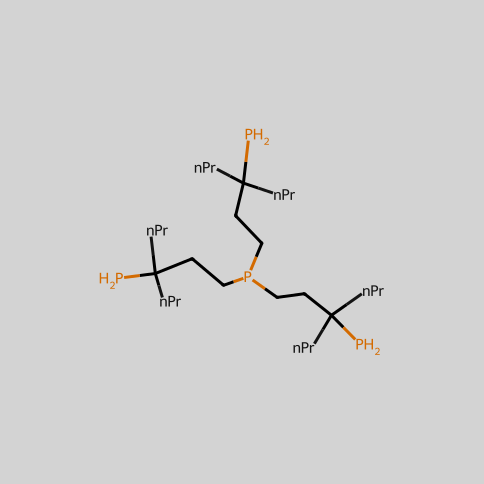 CCCC(P)(CCC)CCP(CCC(P)(CCC)CCC)CCC(P)(CCC)CCC